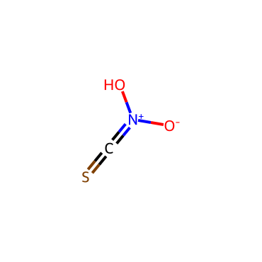 [O-][N+](O)=C=S